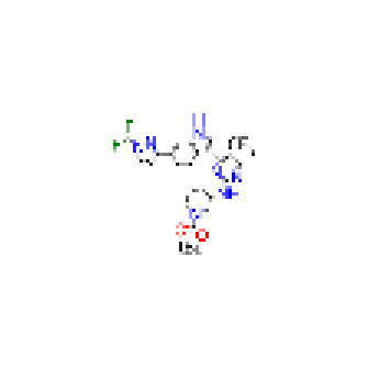 CC(C)(C)OC(=O)N1CCCC(Nc2ncc(C(F)(F)F)c(-c3c[nH]c4cc(-c5ccn(C(F)F)n5)ccc34)n2)C1